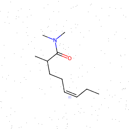 CC/C=C\CCC(C)C(=O)N(C)C